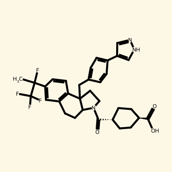 CC(F)(c1ccc2c(c1)CCC1N(C(=O)[C@H]3CC[C@H](C(=O)O)CC3)CCC21Cc1ccc(-c2cn[nH]c2)cc1)C(F)(F)F